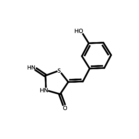 N=C1NC(=O)C(=Cc2cccc(O)c2)S1